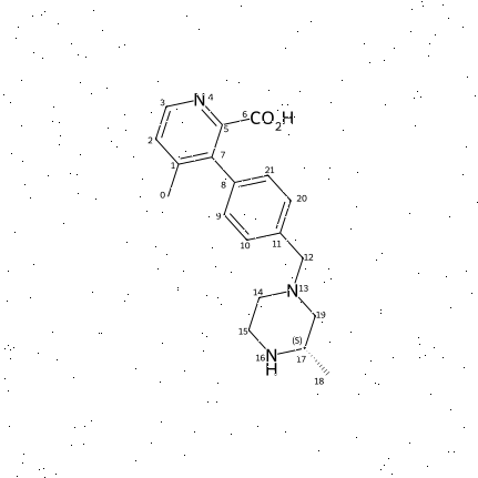 Cc1ccnc(C(=O)O)c1-c1ccc(CN2CCN[C@@H](C)C2)cc1